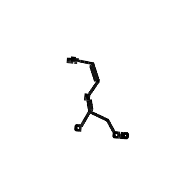 CCC/C=C\N=C(\Cl)CC=O